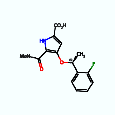 CNC(=O)c1[nH]c(C(=O)O)cc1O[C@@H](C)c1ccccc1F